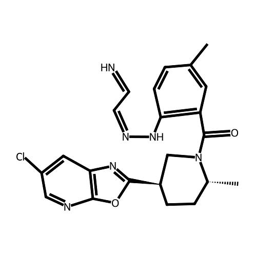 Cc1ccc(N/N=C\C=N)c(C(=O)N2C[C@H](c3nc4cc(Cl)cnc4o3)CC[C@H]2C)c1